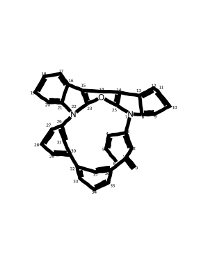 C=C1/C=C(\C=C/C)n2c3ccccc3c3c4c5ccccc5n(c4oc32)-c2cccc(c2)-c2cccc1c2